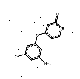 Nc1cc(Cl)cc(Oc2cc[nH]c(=O)c2)c1